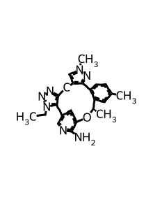 CCn1nnc2c1-c1cnc(N)c(c1)O[C@H](C)c1cc(C)ccc1-c1nn(C)cc1C2